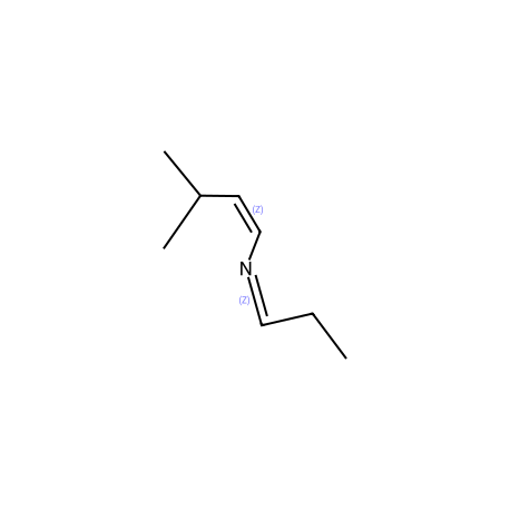 CC/C=N\C=C/C(C)C